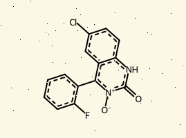 O=c1[nH]c2ccc(Cl)cc2c(-c2ccccc2F)[n+]1[O-]